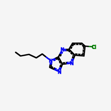 CCCCCn1cnc2nc3cc(Cl)ccc3nc21